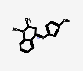 CC(=O)Oc1ccc(/N=C2\CC(C)N(C(C)=O)c3ccccc32)cc1